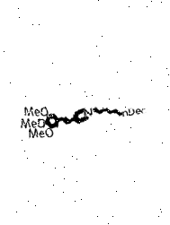 CCCCCCCCCCCCCCCC[n+]1ccc(C=Cc2cc(OC)c(OC)c(OC)c2)cc1